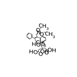 CCON(CC(=C(CC)c1ccccc1)c1ccccc1)OCC.O=C(O)CC(O)(CC(=O)O)C(=O)O